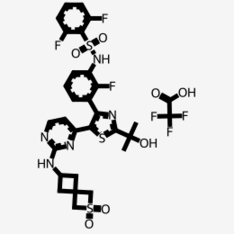 CC(C)(O)c1nc(-c2cccc(NS(=O)(=O)c3c(F)cccc3F)c2F)c(-c2ccnc(NC3CC4(C3)CS(=O)(=O)C4)n2)s1.O=C(O)C(F)(F)F